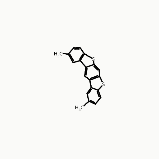 Cc1ccc2sc3cc4sc5ccc(C)cc5c4cc3c2c1